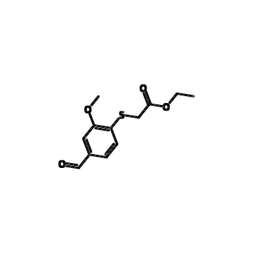 CCOC(=O)CSc1ccc(C=O)cc1OC